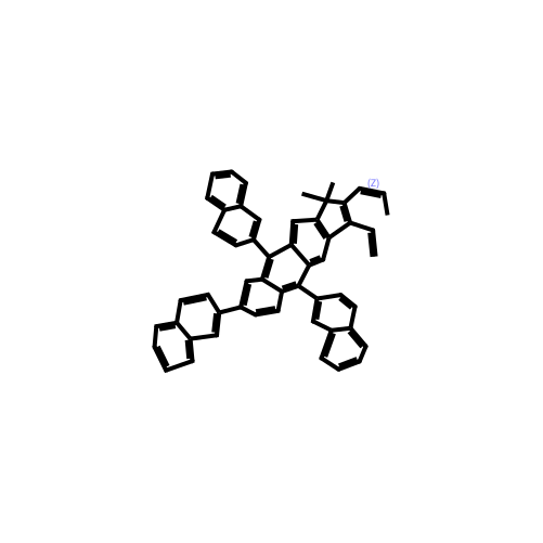 C=CC1=C(/C=C\C)C(C)(C)c2cc3c(-c4ccc5ccccc5c4)c4cc(-c5ccc6ccccc6c5)ccc4c(-c4ccc5ccccc5c4)c3cc21